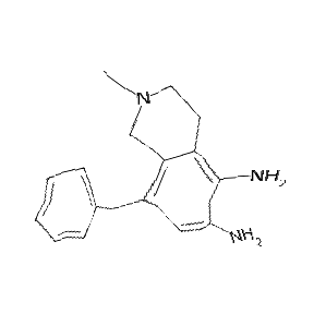 CN1CCc2c(N)c(N)cc(-c3ccccc3)c2C1